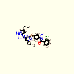 Cc1c[nH]c(Nc2cc(C)nc(Sc3ccc(NC(=O)c4ccccc4Cl)cc3)n2)c1